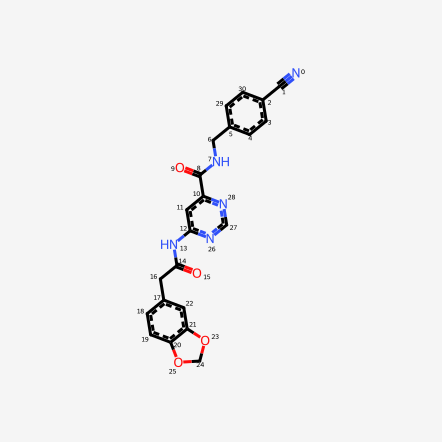 N#Cc1ccc(CNC(=O)c2cc(NC(=O)Cc3ccc4c(c3)OCO4)ncn2)cc1